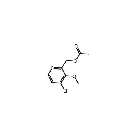 COc1c(Cl)ccnc1COC(C)=O